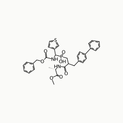 COC(=O)[C@H](C)NC(=O)C(Cc1ccc(-c2ccccc2)cc1)CP(=O)(O)C(NC(=O)OCc1ccccc1)c1ccsc1